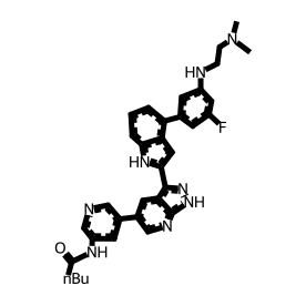 CCCCC(=O)Nc1cncc(-c2cnc3[nH]nc(-c4cc5c(-c6cc(F)cc(NCCN(C)C)c6)cccc5[nH]4)c3c2)c1